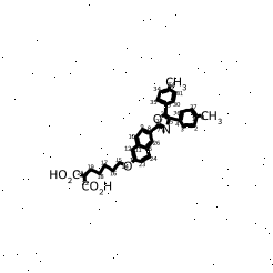 Cc1ccc(-c2nc(-c3ccc4cc(OCCCCCC(C(=O)O)C(=O)O)ccc4c3)oc2-c2ccc(C)cc2)cc1